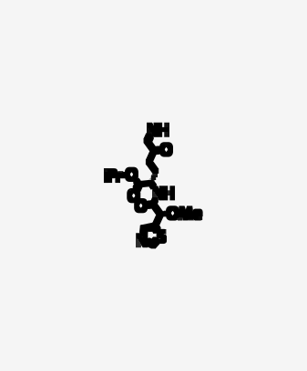 CO[C@H](C(=O)N[C@@H](CCC(=O)C=N)C(=O)OC(C)C)c1cncs1